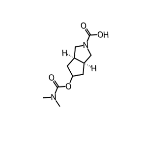 CN(C)C(=O)OC1C[C@@H]2CN(C(=O)O)C[C@@H]2C1